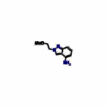 COCCn1cc2c(N)cccc2n1